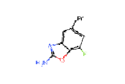 CC(C)c1cc(F)c2oc(N)nc2c1